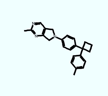 Cc1ccc(C2(c3ccc(N4Cc5cnc(C)nc5C4)cc3)CCC2)cc1